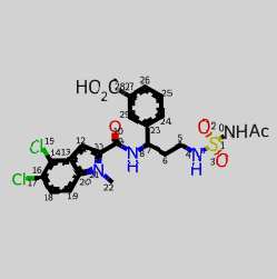 CC(=O)NS(=O)(=O)NCCC(NC(=O)c1cc2c(Cl)c(Cl)ccc2n1C)c1cccc(C(=O)O)c1